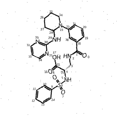 O=C(NC[C@H](NS(=O)(=O)c1ccccc1)C(=O)O)c1cccc(N2CCCCC2Nc2ncccn2)c1